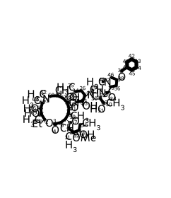 CC[C@H]1OC(=O)[C@H](C)[C@@H]([C@@H]2C[C@@](C)(OC)[C@@H](O)[C@H](C)O2)[C@H](C)[C@@H](O[C@@H]2O[C@H](C)C[C@H](N(C)C[C@H](NC(=O)[C@@H]3C[C@@H](OCc4ccccc4)CN3C)[C@H](C)O)[C@H]2O)[C@](C)(O)C[C@@H](C)CN(C)[C@H](C)[C@@H](O)[C@]1(C)O